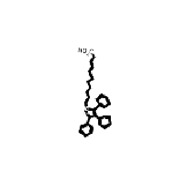 O=C(O)CCCCCCCCCCn1nc(-c2ccccc2)c(-c2ccccc2)c1-c1ccccc1